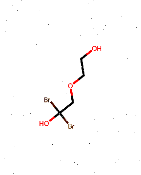 OCCOCC(O)(Br)Br